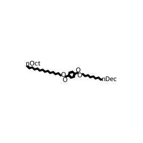 CCCCCCCC/C=C\CCCCCCCCCCCCOC(=O)c1ccc(C(=O)OCCCCCCCCCCCCCCCCCC)cc1